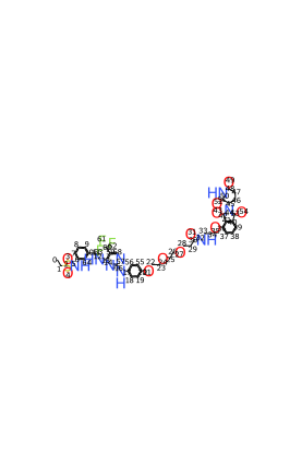 CCS(=O)(=O)Nc1cccc(CNc2nc(Nc3ccc(OCCOCCOCCC(=O)NCCOc4cccc5c4C(=O)N(C4CCC(=O)NC4=O)C5=O)cc3)ncc2C(F)(F)F)c1